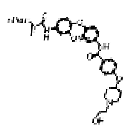 CCCCCNC(=O)Nc1ccc(Oc2ccc(NC(=O)c3ccc(OC4CCN(CCO)CC4)cc3)cc2)c(OC)c1